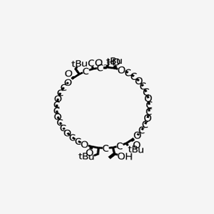 C=C(O)C1CC(CC(C)(C)C)C(=O)OCCOCCOCCOCCOC(=O)C(CC(C)(C)C)CC(C(=O)O)CC(C(C)(C)C)C(=O)OCCOCCOCCOCCOC(=O)C(C(C)(C)C)C1